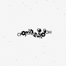 O=C(O)c1ccc2nc(CN3CCN(c4ccnc(OCc5ccc(Cl)cc5F)n4)CC3)n(C[C@@H]3CCO3)c2c1